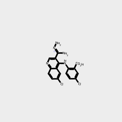 N/N=C(\N)c1cnc2ccc(Cl)cc2c1Nc1ccc(Cl)cc1C(=O)O